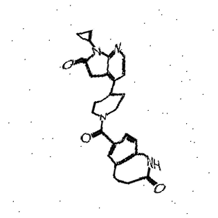 O=C1CCc2cc(C(=O)N3CCC(c4ccnc5c4CC(=O)N5C4CC4)CC3)ccc2N1